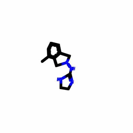 Cc1cccc2c1CN(NC1=NCCN1)C2